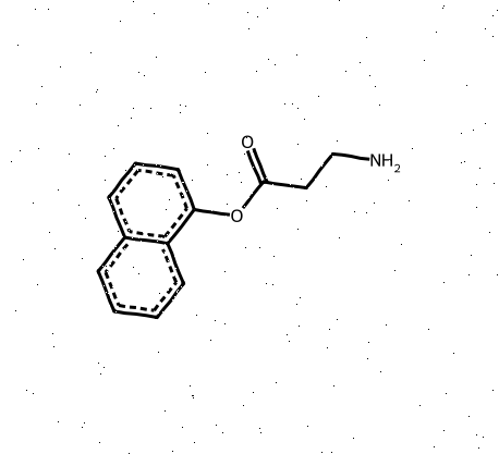 NCCC(=O)Oc1cccc2ccccc12